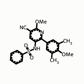 COc1nc(-c2cc(C)c(OC)c(C)c2)c(NS(=O)(=O)c2ccccc2)cc1C#N